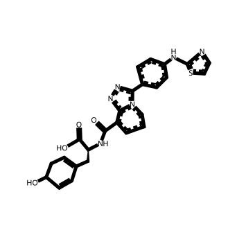 O=C(N[C@@H](CC1=CCC(O)C=C1)C(=O)O)c1cccn2c(-c3ccc(Nc4nccs4)cc3)nnc12